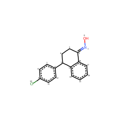 ON=C1CCC(c2ccc(Cl)cc2)c2ccccc21